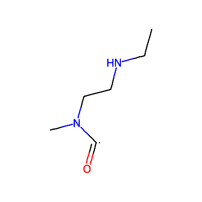 CCNCCN(C)[C]=O